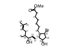 COC(=O)CCCCCC[C@@H]1[C@@H](/C=C/[C@@H](O)C(C)CC=C(C)C)[C@H](O)C[C@@H]1Br